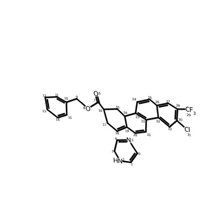 C1=CNCC=N1.O=C(OCc1ccccc1)C1CC=C2C=Cc3c(ccc4cc(C(F)(F)F)c(Cl)cc34)C2C1